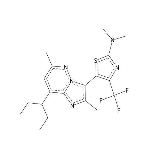 CCC(CC)c1cc(C)nn2c(-c3sc(N(C)C)nc3C(F)(F)F)c(C)nc12